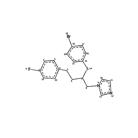 Fc1ccc(CCC(Cn2ccnc2)Sc2ccc(Br)cc2)cc1